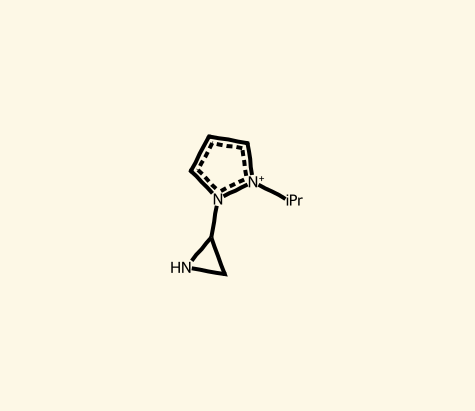 CC(C)[n+]1cccn1C1CN1